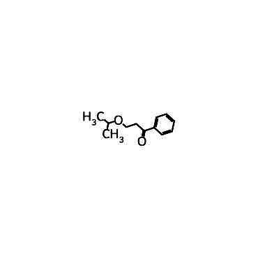 CC(C)OCCC(=O)c1ccccc1